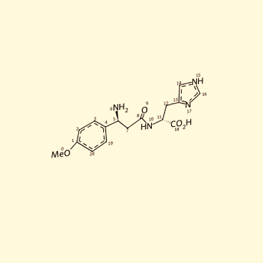 COc1ccc([C@@H](N)CC(=O)N[C@H](Cc2c[nH]cn2)C(=O)O)cc1